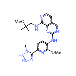 COc1nc(C2=NNNN2C)ccc1Nc1ncc2ccnc(NCC(C)(C)OC)c2n1